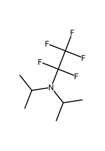 CC(C)N(C(C)C)C(F)(F)C(F)(F)F